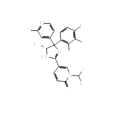 C[C@@H]1NC(c2ccc(=O)n(C(F)F)c2)=NC1(c1ccnc(F)c1)c1ccc(F)c(F)c1F